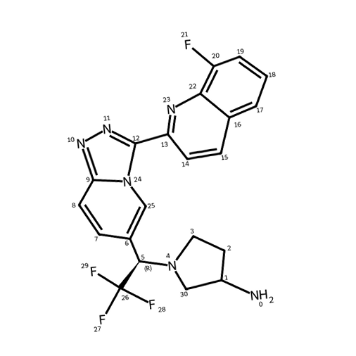 NC1CCN([C@H](c2ccc3nnc(-c4ccc5cccc(F)c5n4)n3c2)C(F)(F)F)C1